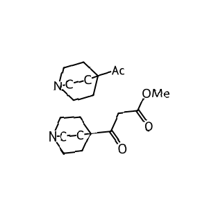 CC(=O)C12CCN(CC1)CC2.COC(=O)CC(=O)C12CCN(CC1)CC2